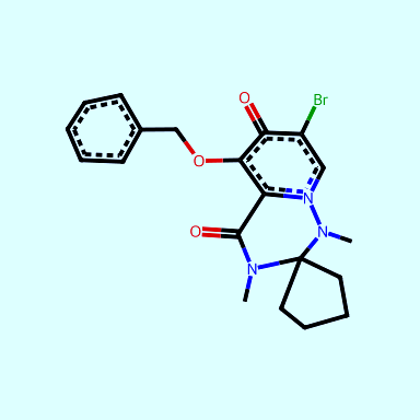 CN1C(=O)c2c(OCc3ccccc3)c(=O)c(Br)cn2N(C)C12CCCC2